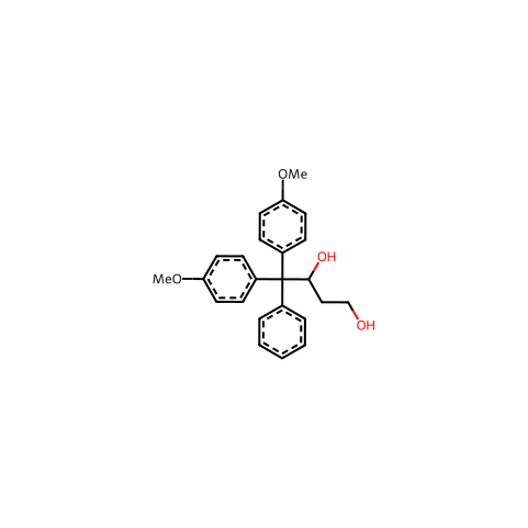 COc1ccc(C(c2ccccc2)(c2ccc(OC)cc2)C(O)CCO)cc1